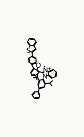 Cc1ccc2c(oc3cc(-c4cc5ccccc5s4)ccc32)c1-c1n(-c2c(C(C)C)cc(-c3ccccc3)cc2C(C)C)c2ccccc2[n+]1C